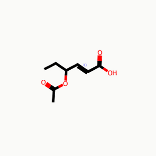 CCC(/C=C/C(=O)O)OC(C)=O